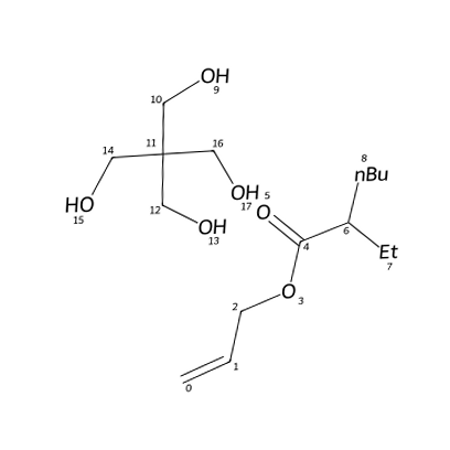 C=CCOC(=O)C(CC)CCCC.OCC(CO)(CO)CO